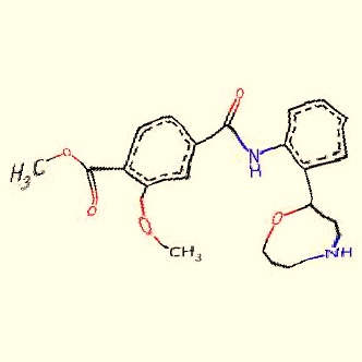 COC(=O)c1ccc(C(=O)Nc2ccccc2C2CNCCO2)cc1OC